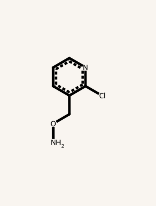 NOCc1cccnc1Cl